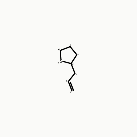 C=CC[C]1CCCS1